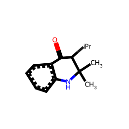 CC(C)C1C(=O)c2ccccc2NC1(C)C